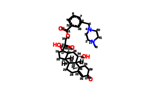 CN1CCN(Cc2cccc(C(=O)OCC(=O)[C@@]3(O)CC[C@H]4[C@@H]5CCC6=CC(=O)CC[C@]6(C)[C@H]5[C@@H](O)C[C@@]43C)c2)CC1